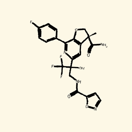 C[C@]1(C(N)=O)COc2c1cc(C(O)(CNC(=O)c1ccno1)C(F)(F)F)nc2-c1ccc(F)cc1